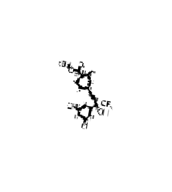 Cc1cc(C#C[C@@](O)(C2C=C(Cl)C=C(Cl)C2)C(F)(F)F)ccc1C(=O)OC(C)(C)C